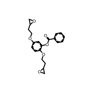 O=C(Oc1cc(OCCC2CO2)ccc1OCCC1CO1)c1ccccc1